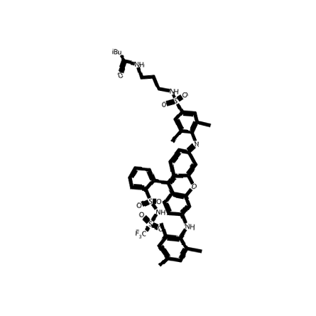 CCC(C)C(=O)NCCCNS(=O)(=O)c1cc(C)c(/N=c2\ccc3c(-c4ccccc4S(=O)(=O)NS(=O)(=O)C(F)(F)F)c4ccc(Nc5c(C)cc(C)cc5C)cc4oc-3c2)c(C)c1